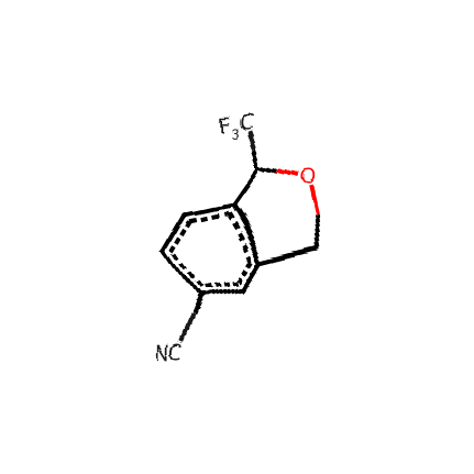 N#Cc1ccc2c(c1)COC2C(F)(F)F